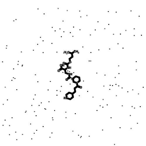 CC(C)CCOC(=O)NC(CNC(=O)[C@@H]1CCCN(C(=O)CCC2CCNCC2)C1)C(=O)O